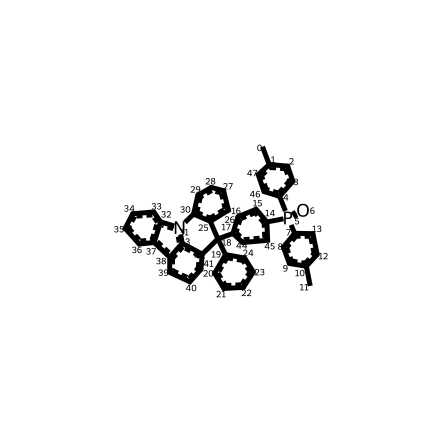 Cc1ccc(P(=O)(c2ccc(C)cc2)c2ccc(C3(c4ccccc4)c4ccccc4-n4c5ccccc5c5cccc3c54)cc2)cc1